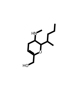 CCCC(C)C1OC(CO)=CCC1NC